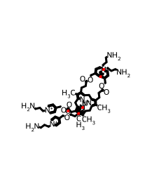 Cc1c(CC(=O)OCc2cc[n+](CCCN)cc2)c2n3c1Cc1c(C)c(CCC(=O)OCc4cc[n+](CCCN)cc4)c4n1[N+]31n3c(c(C)c(CC(=O)OCc5cc[n+](CCCN)cc5)c3Cc3c(C)c(CCC(=O)OCc5cc[n+](CCCN)cc5)c(n31)C4)C2